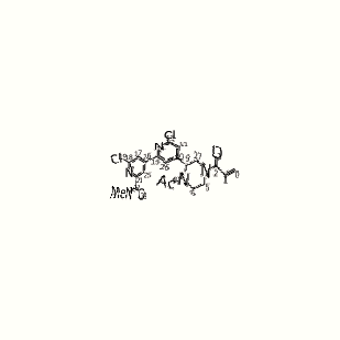 C=CC(=O)N1CCN(C(C)=O)[C@@H](c2cc(Cl)nc(-c3cc(Cl)nc(C(=O)NC)c3)c2)C1